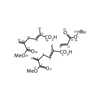 C=C(CC=C(C)C(=O)O)C(=O)OC.C=C(CC=C(C)C(=O)O)C(=O)OC.C=CC(=O)OCCCC